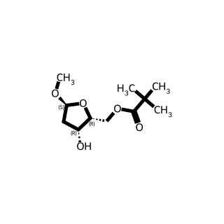 CO[C@@H]1C[C@@H](O)[C@@H](COC(=O)C(C)(C)C)O1